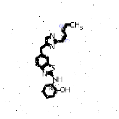 C/C=C\C=C/C1=NCC(Cc2ccc3nc(N[C@@H]4CCCC[C@H]4O)sc3c2)=N1